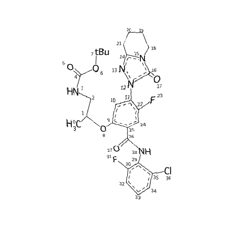 CC(CNC(=O)OC(C)(C)C)Oc1cc(-n2nc3n(c2=O)CCCC3)c(F)cc1C(=O)Nc1c(F)cccc1Cl